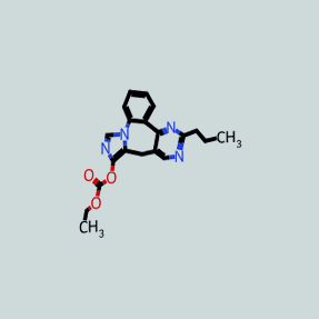 CCCc1ncc2c(n1)-c1ccccc1-n1cnc(OC(=O)OCC)c1C2